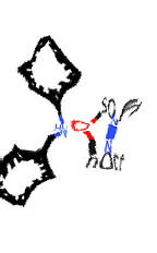 CCCCCCCCOS(=O)(=O)O.N#N.c1ccc(Nc2ccccc2)cc1